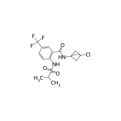 CC(C)S(=O)(=O)Nc1ccc(C(F)(F)F)cc1C(=O)NC12CC(Cl)(C1)C2